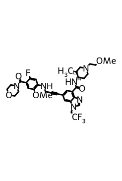 COCCN1CC[C@H](NC(=O)c2cc(C#CCNc3cc(F)c(C(=O)N4CCOCC4)cc3OC)cc3c2ncn3CC(F)(F)F)[C@@H](C)C1